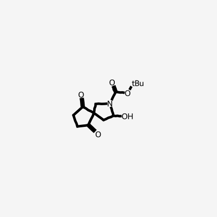 CC(C)(C)OC(=O)N1CC2(CC1O)C(=O)CCC2=O